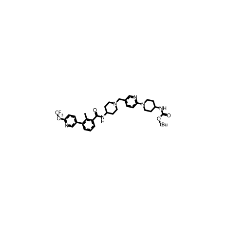 Cc1c(C(=O)NC2CCN(Cc3ccc(N4CCC(NC(=O)OC(C)(C)C)CC4)nc3)CC2)cccc1-c1ccc(OC(F)(F)F)nc1